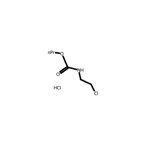 Cl.[CH2]CCOC(=O)NCCCl